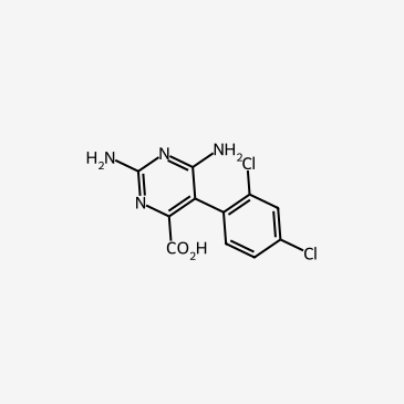 Nc1nc(N)c(-c2ccc(Cl)cc2Cl)c(C(=O)O)n1